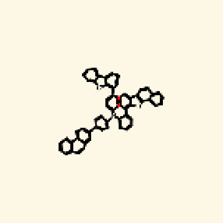 c1ccc(N(c2ccc(-c3ccc4c(ccc5ccccc54)c3)cc2)c2ccc(-c3cccc4c3oc3ccccc34)cc2)c(-c2cccc3c2oc2c4ccccc4ccc32)c1